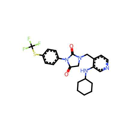 O=C1CN(Cc2ccncc2NC2CCCCC2)C(=O)N1c1ccc(SC(F)(F)F)cc1